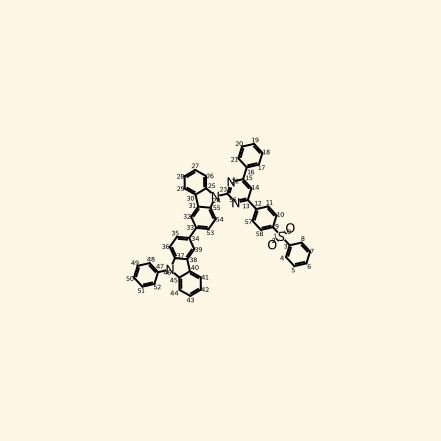 O=S(=O)(c1ccccc1)c1ccc(-c2cc(-c3ccccc3)nc(-n3c4ccccc4c4cc(-c5ccc6c(c5)c5ccccc5n6-c5ccccc5)ccc43)n2)cc1